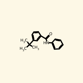 CC(C)(C)c1cccc(C(=O)Nc2ccccc2)c1